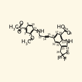 COc1cc(S(C)(=O)=O)ccc1NCC#Cc1cc(C(=O)O)c2[nH]cc(CC(F)(F)F)c2c1